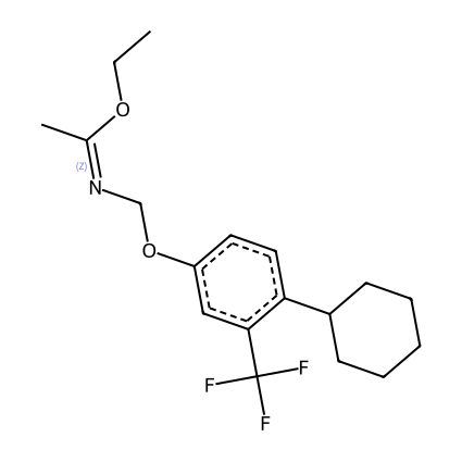 CCO/C(C)=N\COc1ccc(C2CCCCC2)c(C(F)(F)F)c1